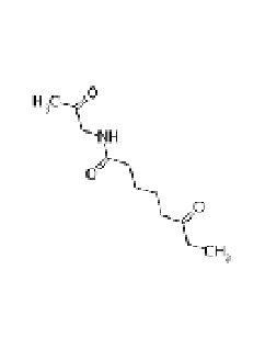 CCC(=O)CCCCC(=O)NCC(C)=O